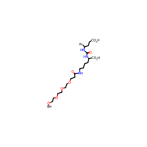 CCCOCCOCCOCCOCCC(=O)NCCCCC(NC(=O)NC(CCC(=O)O)C(C)=O)C(=O)O